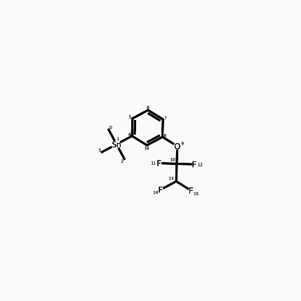 [CH3][Sn]([CH3])([CH3])[c]1cccc(OC(F)(F)C(F)F)c1